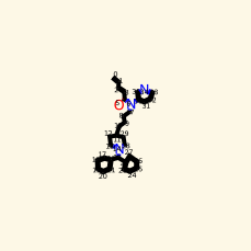 C=CC=CC(=O)N(CCCCC1CCN(C(c2ccccc2)c2ccccc2)CC1)c1cccnc1